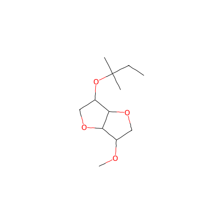 CCC(C)(C)OC1COC2C(OC)COC12